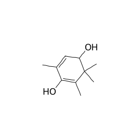 CC1=CC(O)C(C)(C)C(C)=C1O